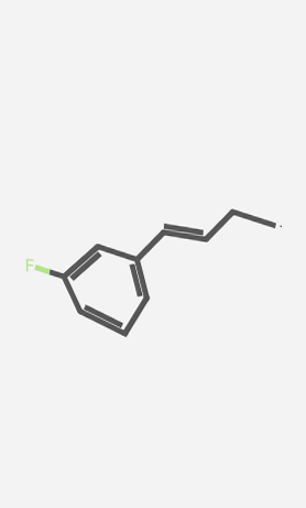 [CH2]C/C=C/c1cccc(F)c1